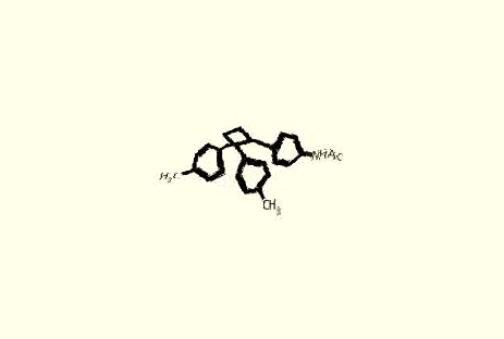 CC(=O)Nc1ccc(C2CCC2(c2ccc(C)cc2)c2ccc(C)cc2)cc1